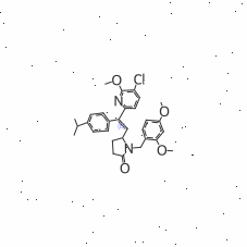 COc1ccc(CN2C(=O)CCC2/C=C(\c2ccc(C(C)C)cc2)c2ccc(Cl)c(OC)n2)c(OC)c1